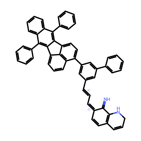 N=C1C2=C(C=CCN2)C=C/C1=C/C=C/c1cc(-c2ccccc2)cc(-c2ccc3c4c(cccc24)-c2c-3c(-c3ccccc3)c3ccccc3c2-c2ccccc2)c1